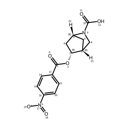 O=C(O[C@@H]1C[C@H]2C[C@@H]1CN2C(=O)O)c1ccc([N+](=O)[O-])cc1